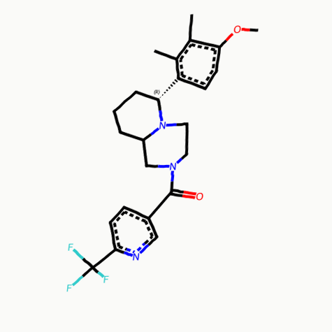 COc1ccc([C@H]2CCCC3CN(C(=O)c4ccc(C(F)(F)F)nc4)CCN32)c(C)c1C